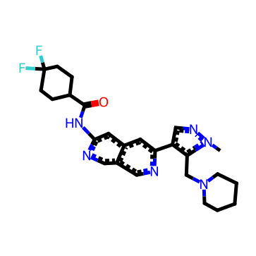 Cn1ncc(-c2cc3cc(NC(=O)C4CCC(F)(F)CC4)ncc3cn2)c1CN1CCCCC1